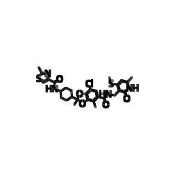 CSc1cc(C)[nH]c(=O)c1CNC(=O)c1cc(Cl)c2c(c1C)OC(C)(C1CCC(NC(=O)c3csc(C)n3)CC1)O2